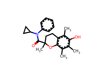 Cc1c(C)c2c(c(C)c1O)CCC(C)(C(=O)N(c1ccccc1)C1CC1)O2